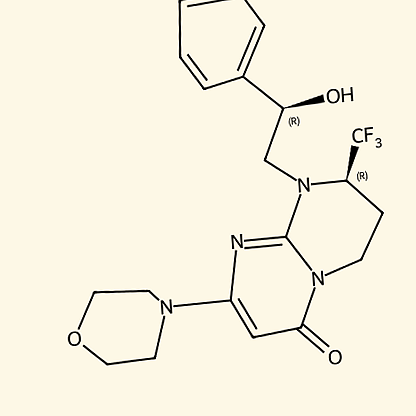 O=c1cc(N2CCOCC2)nc2n1CC[C@H](C(F)(F)F)N2C[C@H](O)c1ccccc1